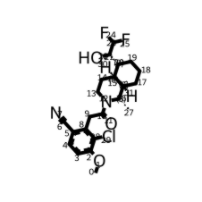 COc1ccc(C#N)c(CC(=O)N2CC[C@@H]3[C@H](CCC[C@H]3C(O)C(F)F)[C@@H]2C)c1Cl